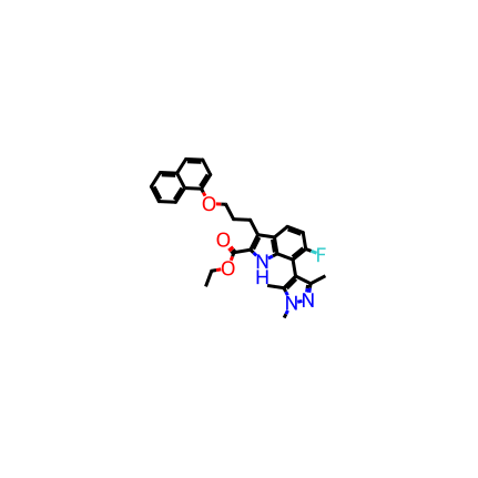 CCOC(=O)c1[nH]c2c(-c3c(C)nn(C)c3C)c(F)ccc2c1CCCOc1cccc2ccccc12